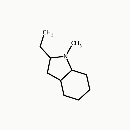 CCC1CC2CCCCC2N1C